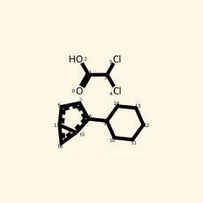 O=C(O)C(Cl)Cl.c1cc(C2CCCCC2)c2cc1-2